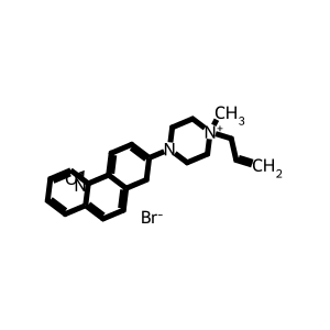 C=CC[N+]1(C)CCN(C2=CC=C3C(=CC=C4C=CC=C5OC=NC453)C2)CC1.[Br-]